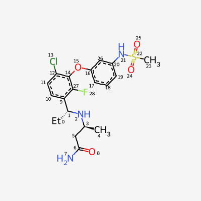 CC[C@@H](N[C@@H](C)CC(N)=O)c1ccc(Cl)c(Oc2cccc(NS(C)(=O)=O)c2)c1F